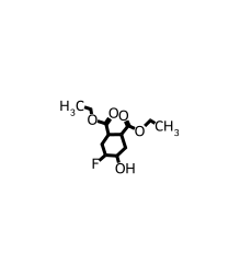 CCOC(=O)C1CC(O)C(F)CC1C(=O)OCC